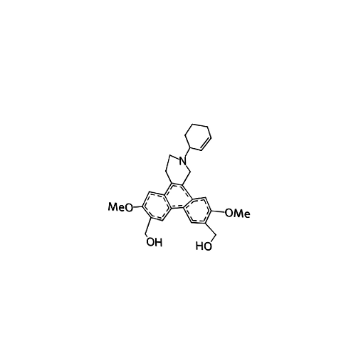 COc1cc2c3c(c4cc(OC)c(CO)cc4c2cc1CO)CN(C1C=CCCC1)CC3